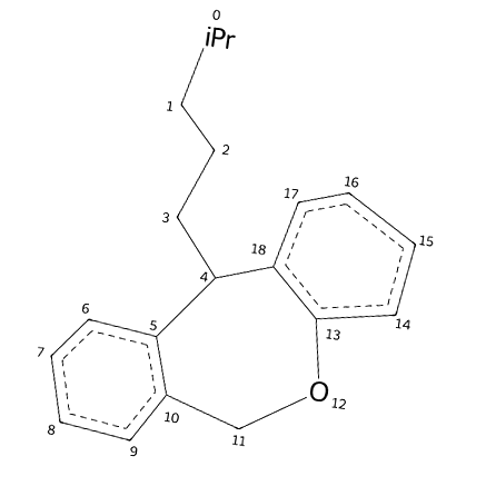 CC(C)CCCC1c2ccccc2COc2ccccc21